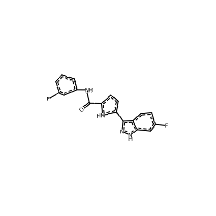 O=C(Nc1cccc(F)c1)c1ccc(-c2n[nH]c3cc(F)ccc23)[nH]1